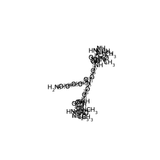 CCC(CC)[C@@H](NC(C)=O)[C@@H]1C(OC(=O)NCCOCCOCCN(CCOCCOCCNC(=O)O[C@H]2[C@@H]([C@H](NC(C)=O)C(CC)CC)[C@H](NC(=N)N)C[C@@H]2C(=O)O)C(=O)CCOCCOCCOCCOCN)[C@@H](C(=O)O)C[C@H]1NC(=N)N